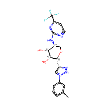 Cc1cccc(-n2cc([C@H]3OC[C@H](Nc4nccc(C(F)(F)F)n4)[C@@H](O)[C@H]3O)nn2)c1